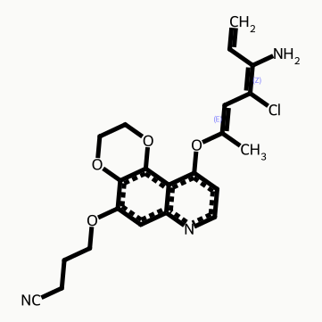 C=C/C(N)=C(Cl)\C=C(/C)Oc1ccnc2cc(OCCCC#N)c3c(c12)OCCO3